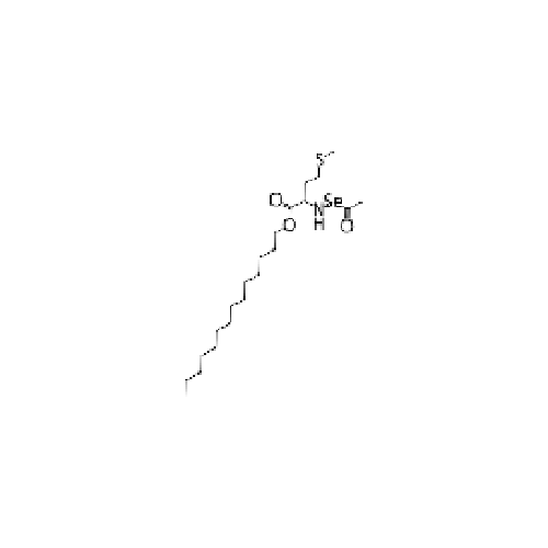 CCCCCCCCCCCCCCOC(=O)C(CCSC)N[Se]C(C)=O